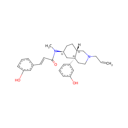 C=CCN1CC[C@@]2(c3cccc(O)c3)C[C@@H](N(C)C(=O)C=Cc3cccc(O)c3)CC[C@@H]2C1